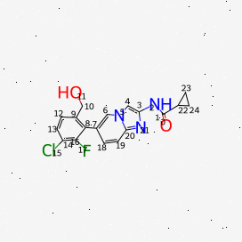 O=C(Nc1cn2cc(-c3c(CO)ccc(Cl)c3F)ccc2n1)C1CC1